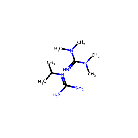 CC(C)N=C(N)N.CN(C)C(=N)N(C)C